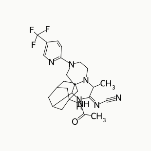 CC(=O)NC12CC3CC(C1)C(N/C(=N/C#N)C(C)N1CCN(c4ccc(C(F)(F)F)cn4)CC1)C(C3)C2